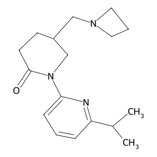 CC(C)c1cccc(N2CC(CN3CCC3)CCC2=O)n1